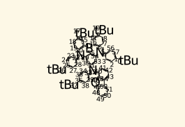 CC(C)(C)c1ccc(N2c3ccc(C(C)(C)C)cc3B3c4cc(C(C)(C)C)ccc4N(c4ccc(C(C)(C)C)cc4)c4cc(N(c5ccc(C(C)(C)C)cc5)c5cccc6c5oc5ccccc56)cc2c43)cc1